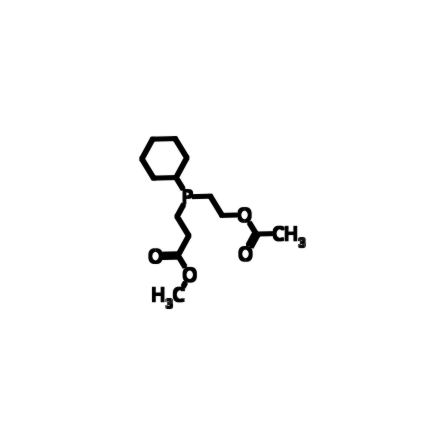 COC(=O)CCP(CCOC(C)=O)C1CCCCC1